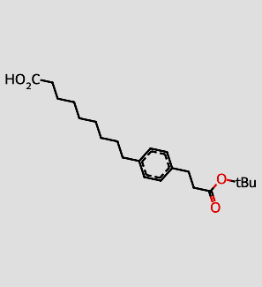 CC(C)(C)OC(=O)CCc1ccc(CCCCCCCCC(=O)O)cc1